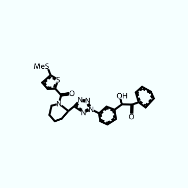 CSc1ccc(C(=O)N2CCCCC2c2nnn(-c3cccc(C(O)C(=O)c4ccccc4)c3)n2)s1